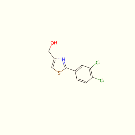 OCc1csc(-c2ccc(Cl)c(Cl)c2)n1